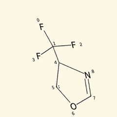 FC(F)(F)C1[C]OC=N1